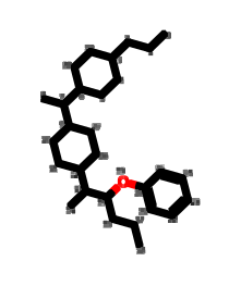 CCCC1CCC(C(C)C2CCC(C(C)C(CCC)Oc3ccccc3)CC2)CC1